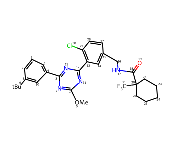 COc1nc(-c2cccc(C(C)(C)C)c2)nc(-c2cc(CNC(=O)C3(C(F)(F)F)CCCCC3)ccc2Cl)n1